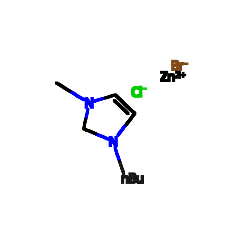 CCCCN1C=CN(C)C1.[Br-].[Cl-].[Zn+2]